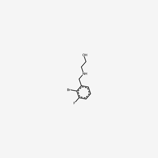 OCCNCc1cccc(F)c1Br